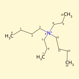 CCCC[N+](CCC)(CCC)CCCC